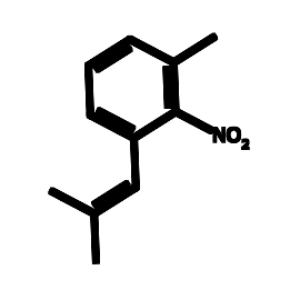 CC(C)=Cc1cccc(C)c1[N+](=O)[O-]